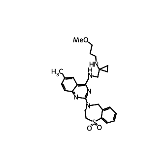 COCCCNC1(CNc2nc(N3CCS(=O)(=O)c4ccccc4C3)nc3ccc(C)cc23)CC1